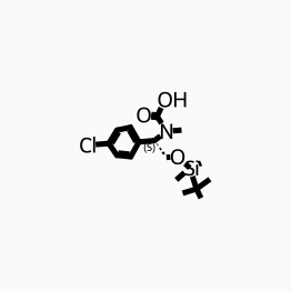 CN(C(=O)O)[C@H](CO[Si](C)(C)C(C)(C)C)c1ccc(Cl)cc1